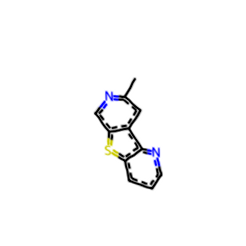 Cc1cc2c(cn1)sc1cccnc12